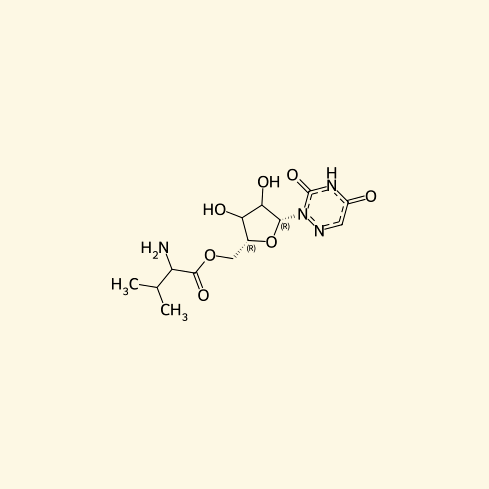 CC(C)C(N)C(=O)OC[C@H]1O[C@@H](n2ncc(=O)[nH]c2=O)C(O)C1O